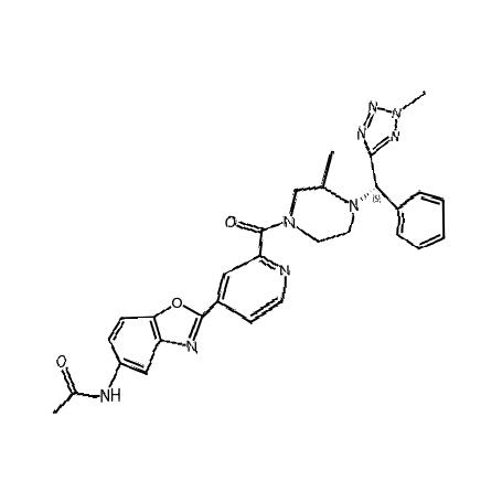 CC(=O)Nc1ccc2oc(-c3ccnc(C(=O)N4CCN([C@@H](c5ccccc5)c5nnn(C)n5)C(C)C4)c3)nc2c1